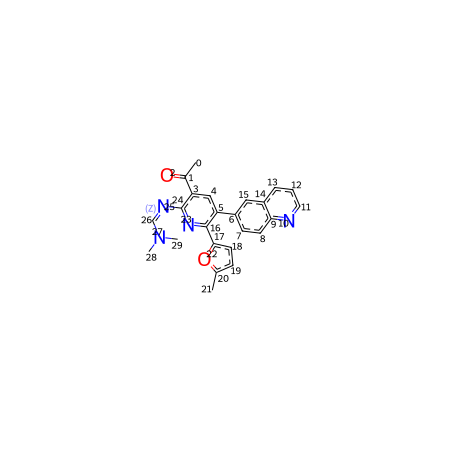 CC(=O)c1cc(-c2ccc3ncccc3c2)c(-c2ccc(C)o2)nc1/N=C\N(C)C